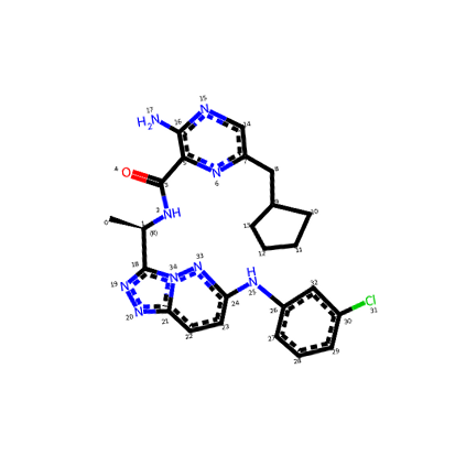 C[C@@H](NC(=O)c1nc(CC2CCCC2)cnc1N)c1nnc2ccc(Nc3cccc(Cl)c3)nn12